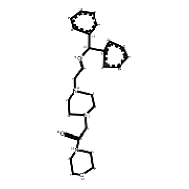 O=C(CN1CCN(CCOC(c2ccccc2)c2ccccc2)CC1)N1CCOCC1